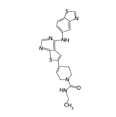 CCNC(=O)N1CC=C(c2cc3c(Nc4ccc5scnc5c4)ncnc3s2)CC1